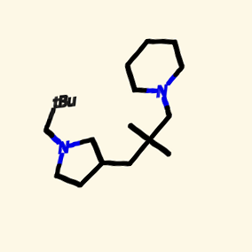 CC(C)(C)CN1CCC(CC(C)(C)CN2CCCCC2)C1